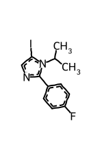 CC(C)n1c(I)cnc1-c1ccc(F)cc1